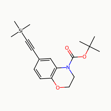 CC(C)(C)OC(=O)N1CCOc2ccc(C#C[Si](C)(C)C)cc21